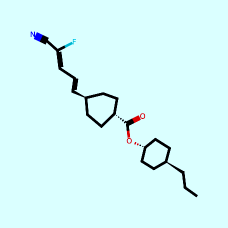 CCC[C@H]1CC[C@H](OC(=O)[C@H]2CC[C@H](C=CC=C(F)C#N)CC2)CC1